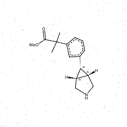 COC(=O)C(C)(C)c1cccc([C@@H]2[C@@H]3CNC[C@@H]32)c1